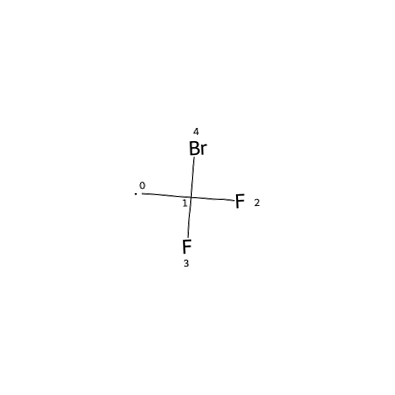 [CH2]C(F)(F)Br